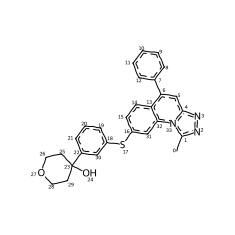 Cc1nnc2cc(-c3ccccc3)c3ccc(Sc4cccc(C5(O)CCOCC5)c4)cc3n12